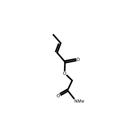 CC=CC(=O)OCC(=O)NC